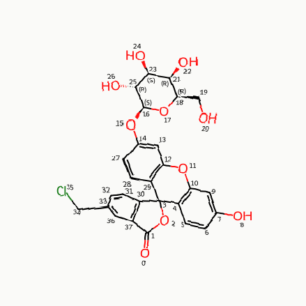 O=C1OC2(c3ccc(O)cc3Oc3cc(O[C@@H]4O[C@H](CO)[C@H](O)[C@H](O)[C@H]4O)ccc32)c2ccc(CCl)cc21